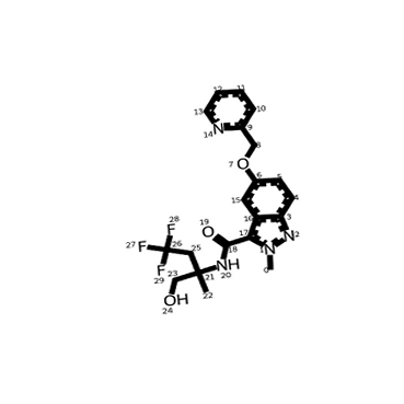 Cn1nc2ccc(OCc3ccccn3)cc2c1C(=O)NC(C)(CO)CC(F)(F)F